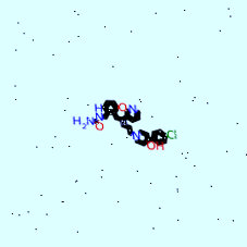 NC(=O)NCc1cccc2c1C/C(=C/CCN1CCC(O)(c3ccc(Cl)cc3)CC1)c1cccnc1O2